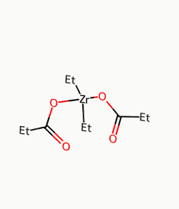 CCC(=O)[O][Zr]([CH2]C)([CH2]C)[O]C(=O)CC